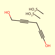 CS(=O)(=O)O.CS(=O)(=O)O.OC#CCC#CCO